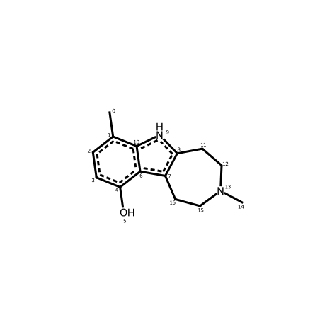 Cc1ccc(O)c2c3c([nH]c12)CCN(C)CC3